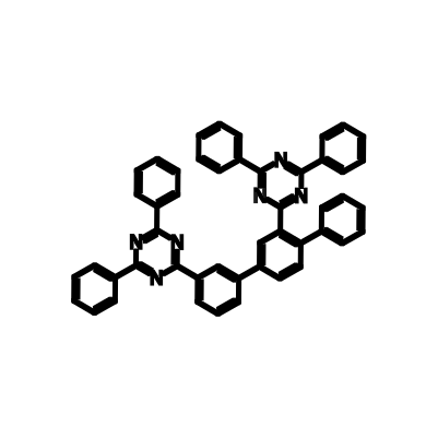 c1ccc(-c2nc(-c3ccccc3)nc(-c3cccc(-c4ccc(-c5ccccc5)c(-c5nc(-c6ccccc6)nc(-c6ccccc6)n5)c4)c3)n2)cc1